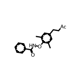 CC(=O)CCc1cc(C)c(ONC(=O)c2ccccc2)c(C)c1